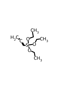 C=C=C[Si](OCC)(OCC)OCC